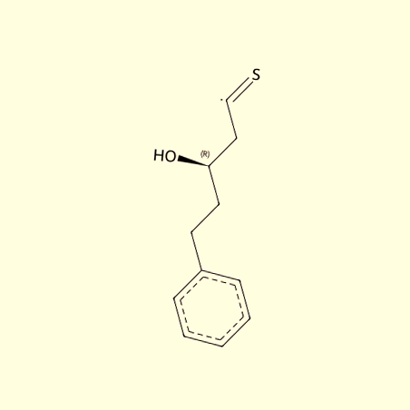 O[C@@H](C[C]=S)CCc1ccccc1